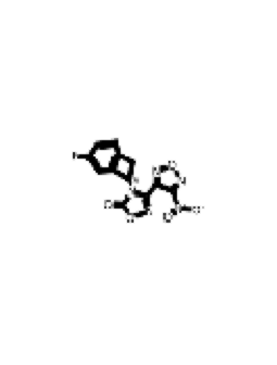 O=c1onc(-c2nonc2[N+](=O)[O-])n1[C@H]1Cc2ccc(F)cc21